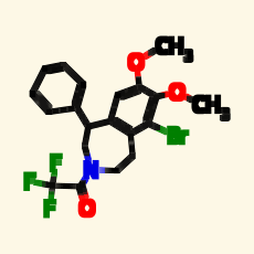 COc1cc2c(c(Br)c1OC)CCN(C(=O)C(F)(F)F)CC2c1ccccc1